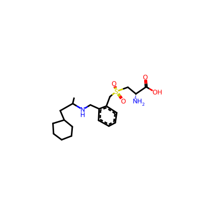 CC(CC1CCCCC1)NCc1ccccc1CS(=O)(=O)C[C@@H](N)C(=O)O